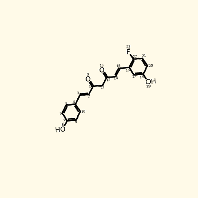 O=C(C=Cc1ccc(O)cc1)CC(=O)C=Cc1cc(O)ccc1F